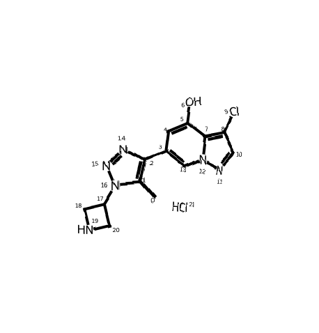 Cc1c(-c2cc(O)c3c(Cl)cnn3c2)nnn1C1CNC1.Cl